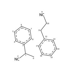 CC(C#N)c1ccccc1.N#CCCc1ccccc1